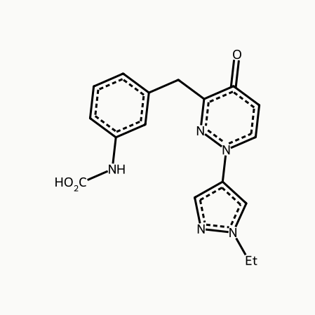 CCn1cc(-n2ccc(=O)c(Cc3cccc(NC(=O)O)c3)n2)cn1